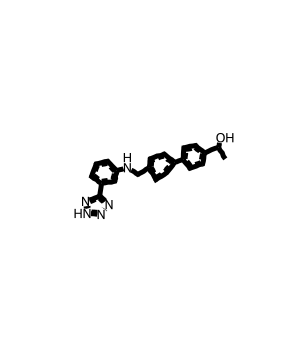 CC(O)c1ccc(-c2ccc(CNc3cccc(-c4nn[nH]n4)c3)cc2)cc1